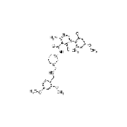 COc1cc(C)c(-n2cnc(N)c(C(=O)N[C@H]3CCC[C@@H](CNCc4ccc(OC)cc4OC)C3)c2=O)c(Cl)c1